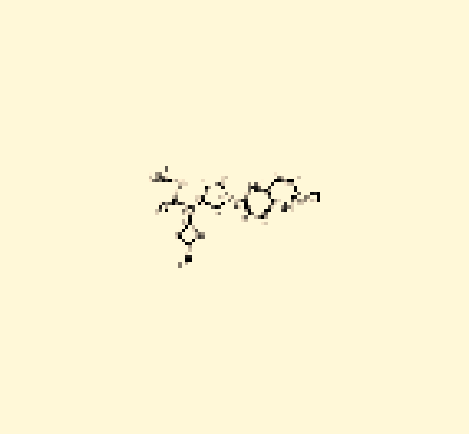 CC(C)(C)OC(=O)N(C1CC(F)C1)C1CCN(c2ccc3nc(Cl)ccc3n2)C1